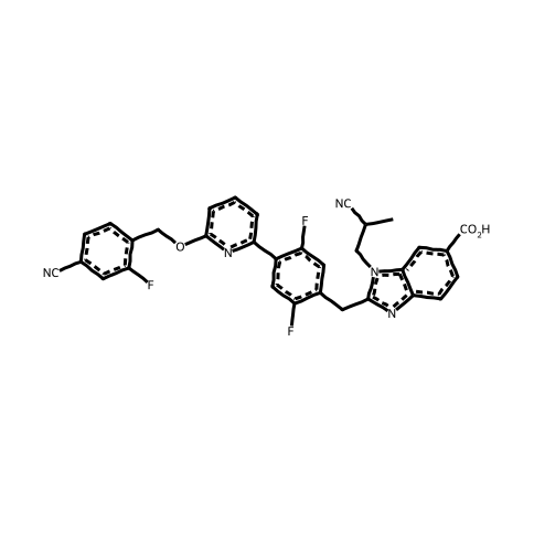 CC(C#N)Cn1c(Cc2cc(F)c(-c3cccc(OCc4ccc(C#N)cc4F)n3)cc2F)nc2ccc(C(=O)O)cc21